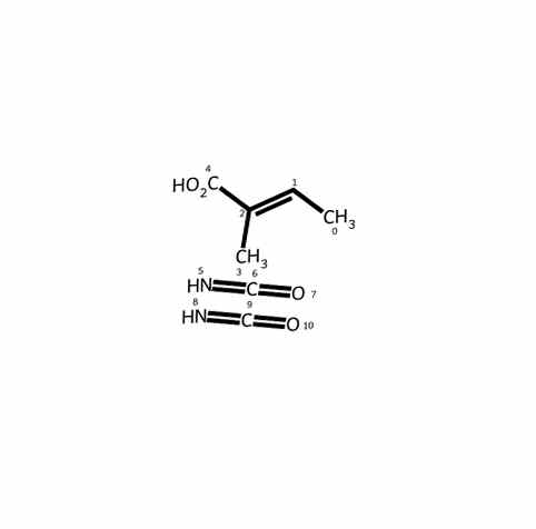 CC=C(C)C(=O)O.N=C=O.N=C=O